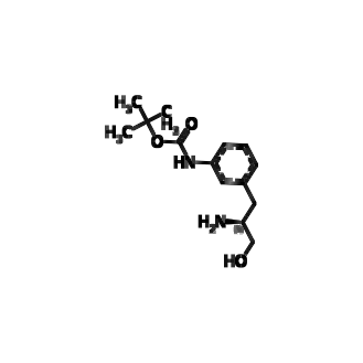 CC(C)(C)OC(=O)Nc1cccc(C[C@H](N)CO)c1